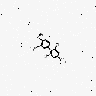 CC(C)Sc1ccc(-c2c(Cl)cc(C(F)(F)F)cc2Cl)cc1N